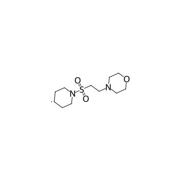 O=S(=O)(CCN1CCOCC1)N1CC[CH]CC1